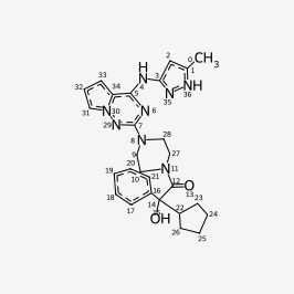 Cc1cc(Nc2nc(N3CCN(C(=O)C(O)(c4ccccc4)C4CCCC4)CC3)nn3cccc23)n[nH]1